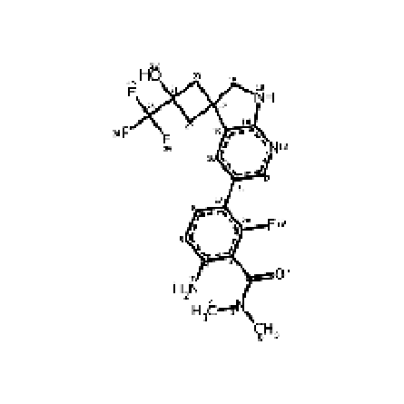 CN(C)C(=O)c1c(N)ccc(-c2cnc3c(c2)C2(CN3)CC(O)(C(F)(F)F)C2)c1F